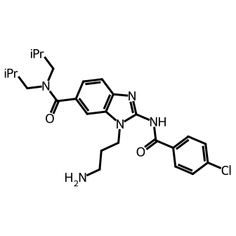 CC(C)CN(CC(C)C)C(=O)c1ccc2nc(NC(=O)c3ccc(Cl)cc3)n(CCCN)c2c1